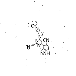 C=CC(=O)N1CC2(CCN(c3nc(C#CN(C)C)nc(-c4c(C)ccc5[nH]ncc45)c3C#N)C2)C1